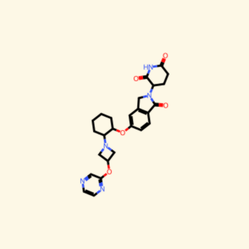 O=C1CCC(N2Cc3cc(OC4CCCCC4N4CC(Oc5cnccn5)C4)ccc3C2=O)C(=O)N1